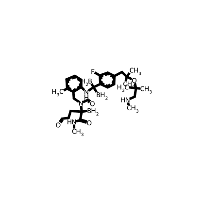 BC(B)(Nc1cccc(C)c1CN(C=O)C(B)(CCC=O)C(=O)NC)c1ccc(CC(C)(C)OC(C)(C)CNC)cc1F